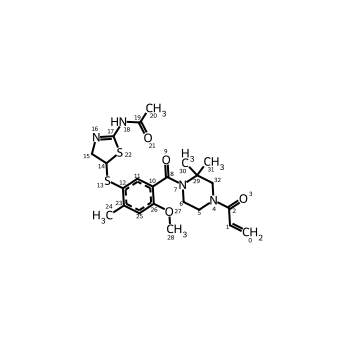 C=CC(=O)N1CCN(C(=O)c2cc(SC3CN=C(NC(C)=O)S3)c(C)cc2OC)C(C)(C)C1